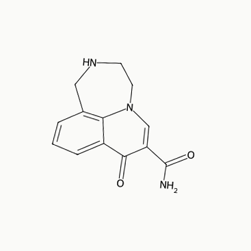 NC(=O)c1cn2c3c(cccc3c1=O)CNCC2